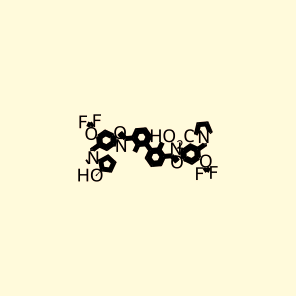 Cc1c(-c2nc3cc(CN(C)[C@@H]4CCC[C@@H]4O)c(OC(F)F)cc3o2)cccc1-c1cccc(-c2nc3cc(CN4CCC[C@@H]4C(=O)O)c(OC(F)F)cc3o2)c1C